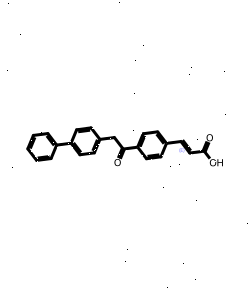 O=C(O)/C=C/c1ccc(C(=O)Cc2ccc(-c3ccccc3)cc2)cc1